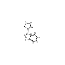 C1=CCC(C2C=Cc3ccccc32)=C1